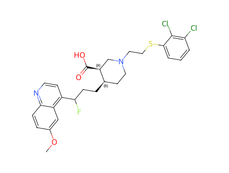 COc1ccc2nccc(C(F)CC[C@@H]3CCN(CCSc4cccc(Cl)c4Cl)C[C@@H]3C(=O)O)c2c1